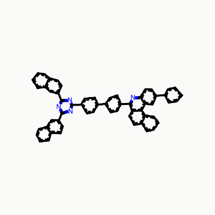 c1ccc(-c2ccc3nc(-c4ccc(-c5ccc(-c6nc(-c7ccc8ccccc8c7)nc(-c7ccc8ccccc8c7)n6)cc5)cc4)c4ccc5ccccc5c4c3c2)cc1